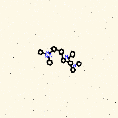 c1ccc(-c2nc(-c3ccccc3)nc(-c3cccc(-c4cccc(-c5cccc6c5nc(-c5ccccc5)c5cc7c(cc56)c5ccccc5n7-c5ccccc5)c4)c3)n2)cc1